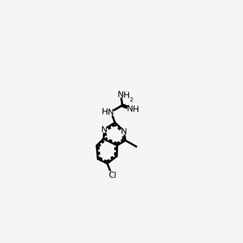 Cc1nc(NC(=N)N)nc2ccc(Cl)cc12